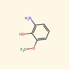 Nc1cccc(OC(F)(F)F)c1O